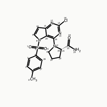 Cc1ccc(S(=O)(=O)n2ccc3nc(Cl)nc(N4CCC[C@H]4C(N)=O)c32)cc1